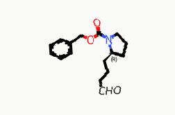 O=CCCC[C@@H]1CCCN1C(=O)OCc1ccccc1